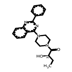 CC[C@@H](O)C(=O)N1CCN(c2nc(-c3ccccc3)nc3ccccc23)CC1